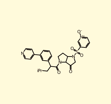 CC(C)CC(C(=O)N1CCC2C1C(=O)CN2S(=O)(=O)c1ccc[n+]([O-])c1)c1cccc(-c2ccncc2)c1